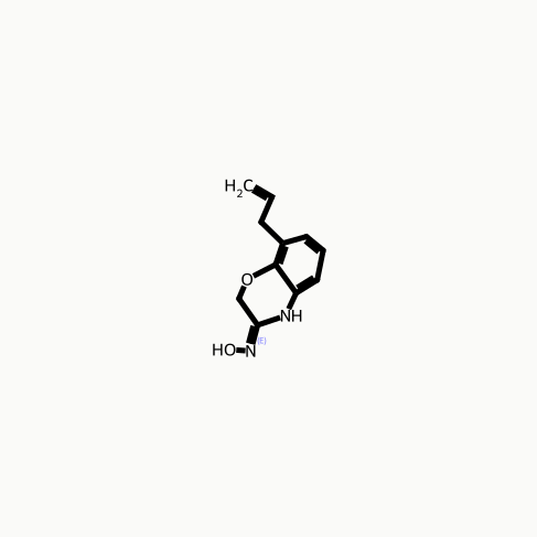 C=CCc1cccc2c1OC/C(=N\O)N2